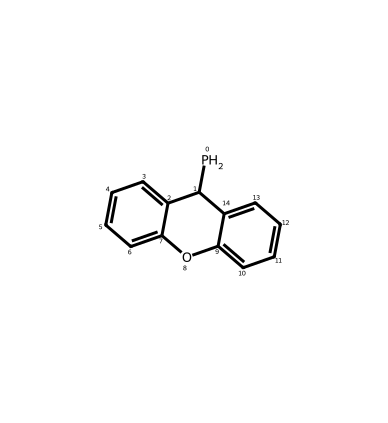 PC1c2ccccc2Oc2ccccc21